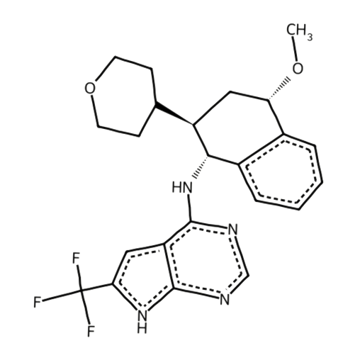 CO[C@H]1C[C@H](C2CCOCC2)[C@@H](Nc2ncnc3[nH]c(C(F)(F)F)cc23)c2ccccc21